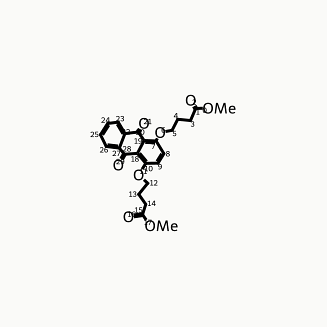 COC(=O)CCCOc1ccc(OCCCC(=O)OC)c2c1C(=O)c1ccccc1C2=O